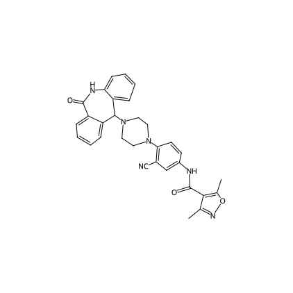 Cc1noc(C)c1C(=O)Nc1ccc(N2CCN(C3c4ccccc4NC(=O)c4ccccc43)CC2)c(C#N)c1